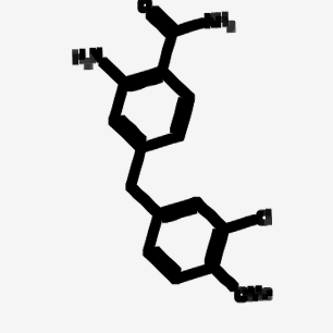 COc1ccc(Cc2ccc(C(N)=O)c(N)c2)cc1Cl